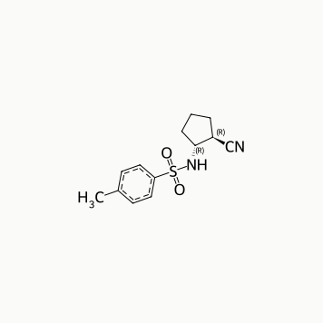 Cc1ccc(S(=O)(=O)N[C@@H]2CCC[C@H]2C#N)cc1